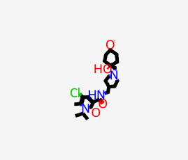 CO[C@H]1CC[C@](O)(CN2CCC(CNC(=O)c3cc(Cl)c(C)n(C(C)C)c3=O)CC2)CC1